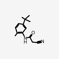 Cc1ccc(C(C)(C)C)cc1NC(=O)CC#N